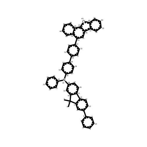 CC1(C)c2cc(-c3ccccc3)ccc2-c2ccc(N(c3ccccc3)c3ccc(-c4ccc(-c5cc6c7ccccc7oc6c6ccccc56)cc4)cc3)cc21